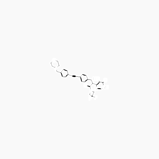 O=C(C(Cc1ccc(C#Cc2ccc(CN3CCOCC3)cc2)cc1)c1nc[nH]c(=O)c1O)N1CC(F)(F)C1